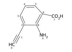 C#Cc1cccc(C(=O)O)c1N